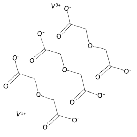 O=C([O-])COCC(=O)[O-].O=C([O-])COCC(=O)[O-].O=C([O-])COCC(=O)[O-].[V+3].[V+3]